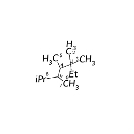 CCC(C)(C)C(C)C(C)C(C)C